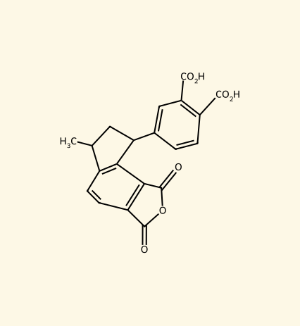 CC1CC(c2ccc(C(=O)O)c(C(=O)O)c2)c2c1ccc1c2C(=O)OC1=O